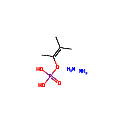 CC(C)=C(C)OP(=O)(O)O.N.N